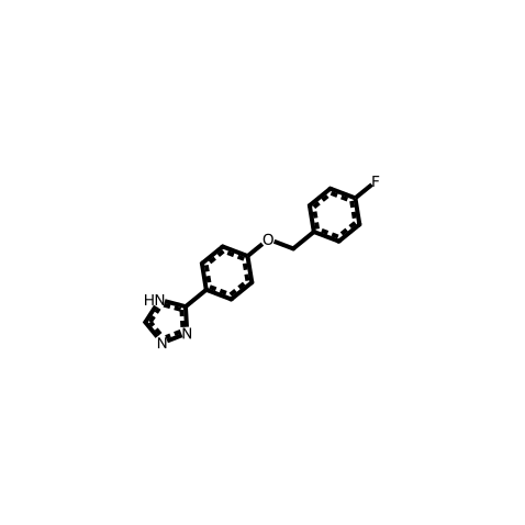 Fc1ccc(COc2ccc(-c3nnc[nH]3)cc2)cc1